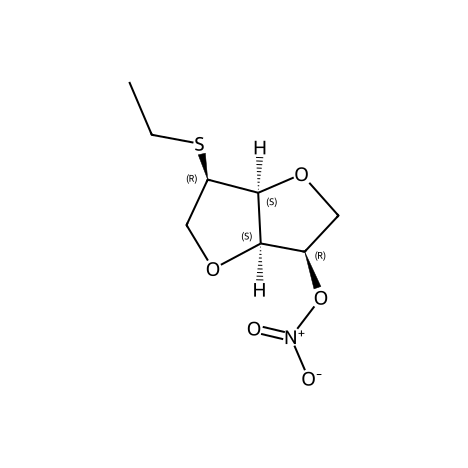 CCS[C@@H]1CO[C@H]2[C@@H]1OC[C@H]2O[N+](=O)[O-]